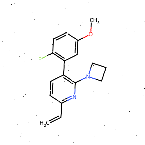 C=Cc1ccc(-c2cc(OC)ccc2F)c(N2CCC2)n1